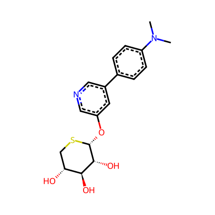 CN(C)c1ccc(-c2cncc(O[C@H]3SC[C@@H](O)[C@H](O)[C@H]3O)c2)cc1